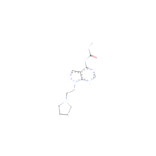 CCCNC(=O)Nc1ncnc2c1cnn2CCN1CCCC1